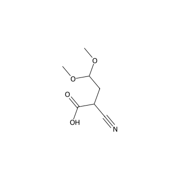 COC(CC(C#N)C(=O)O)OC